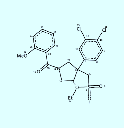 CCOS(=O)(=O)CC1(c2ccc(Cl)c(Cl)c2)CCN(C(=O)c2ccccc2OC)C1